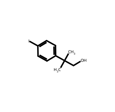 CC(C)(CO)c1ccc(I)cc1